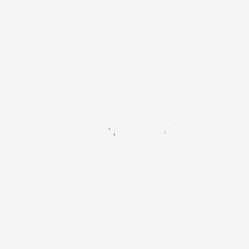 Cc1cn(-c2ccccc2)c2c1C(=O)CCC2